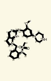 COc1cc(N2CCNCC2)ccc1Nc1ncc2ccn(Cc3ccccc3N(C)S(C)(=O)=O)c2n1